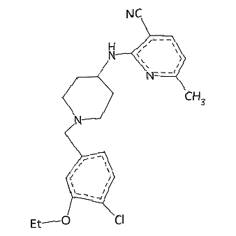 CCOc1cc(CN2CCC(Nc3nc(C)ccc3C#N)CC2)ccc1Cl